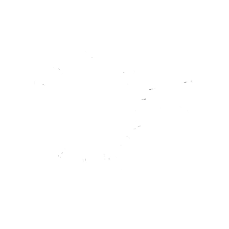 CO[C@@H]1C[C@@H](CC(C)[C@@H]2CC(=O)[C@H](C)/C=C(\C)[C@@H](O)[C@@H](OC)C(=O)[C@H](C)C[C@H](C)/C=C/C=C/C=C(/C)[C@H](N3CCOCC3)C[C@@H]3CC[C@@H](C)[C@@](O)(O3)C(=O)C(=O)N3CCCC[C@H]3C(=O)O2)CC[C@H]1O